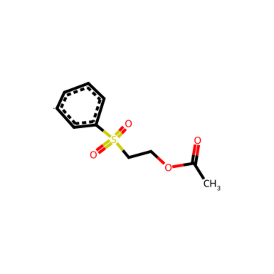 CC(=O)OCCS(=O)(=O)c1c[c]ccc1